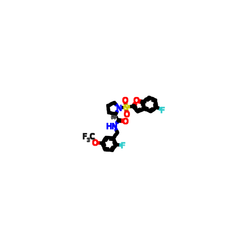 O=C(NCc1cc(OC(F)(F)F)ccc1F)[C@@H]1CCCN1S(=O)(=O)c1cc2cc(F)ccc2o1